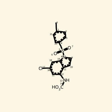 Cc1ccc(S(=O)(=O)n2ccc3c(NC(=O)O)cc(Cl)cc32)cc1